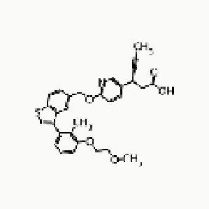 CC#C[C@@H](CC(=O)O)c1ccc(OCc2ccc3scc(-c4cccc(OCCOC)c4C)c3c2)nc1